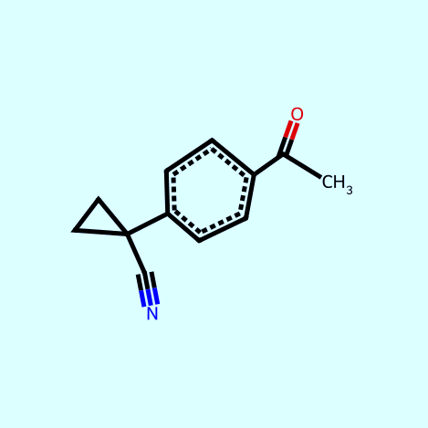 CC(=O)c1ccc(C2(C#N)CC2)cc1